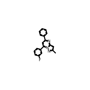 Cc1cc2nc(-c3ccccc3)cc(-c3cccc(F)c3)n2n1